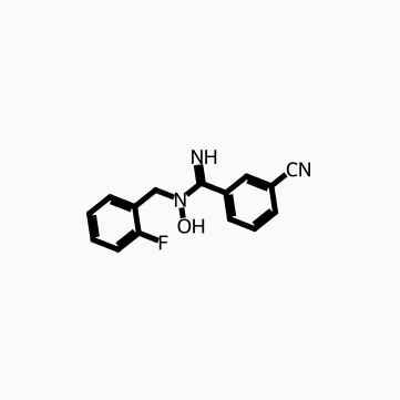 N#Cc1cccc(C(=N)N(O)Cc2ccccc2F)c1